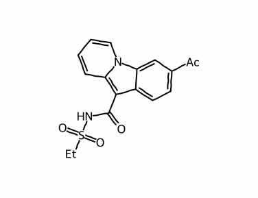 CCS(=O)(=O)NC(=O)c1c2ccc(C(C)=O)cc2n2ccccc12